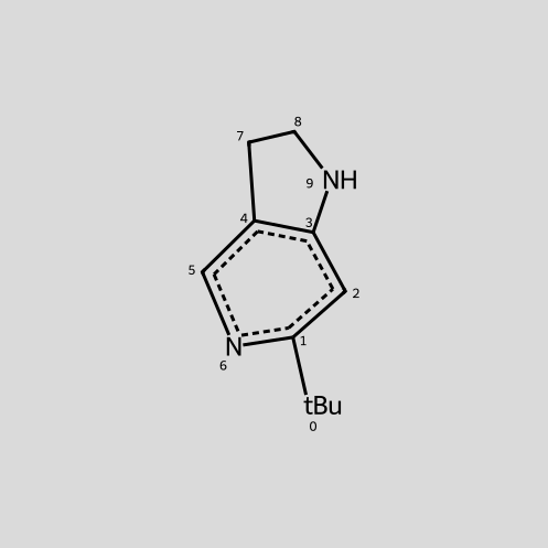 CC(C)(C)c1cc2c(cn1)CCN2